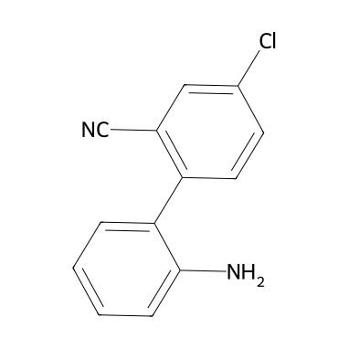 N#Cc1cc(Cl)ccc1-c1ccccc1N